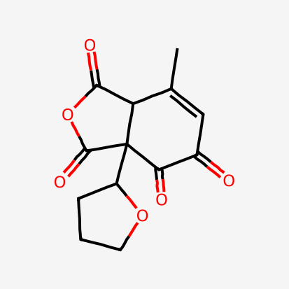 CC1=CC(=O)C(=O)C2(C3CCCO3)C(=O)OC(=O)C12